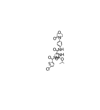 CC(C)OC(=O)N[C@H](CNC(=O)c1ccc(Cl)s1)C(=O)Nc1ccc(N2CCOCC2=O)cc1